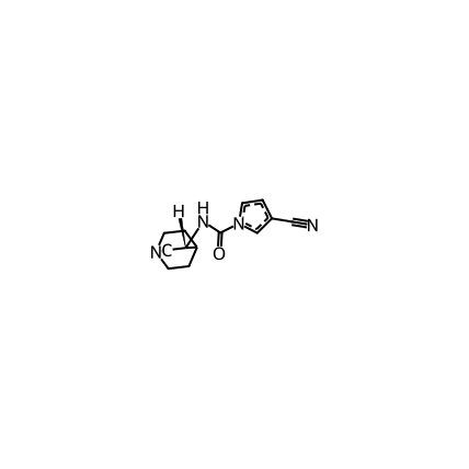 N#Cc1ccn(C(=O)N[C@H]2CN3CCC2CC3)c1